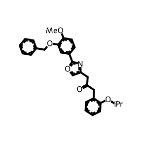 COc1ccc(-c2nc(CC(=O)Cc3ccccc3OC(C)C)co2)cc1OCc1ccccc1